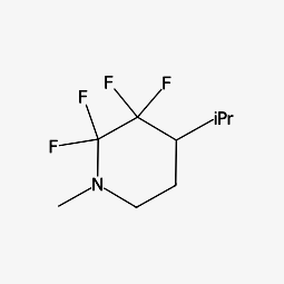 CC(C)C1CCN(C)C(F)(F)C1(F)F